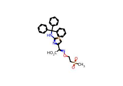 CS(=O)(=O)CCO/N=C(\C(=O)O)c1csc(NC(c2ccccc2)(c2ccccc2)c2ccccc2)n1